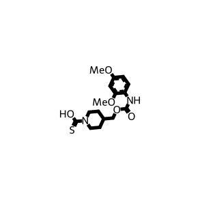 COc1ccc(NC(=O)OCC2CCN(C(O)=S)CC2)c(OC)c1